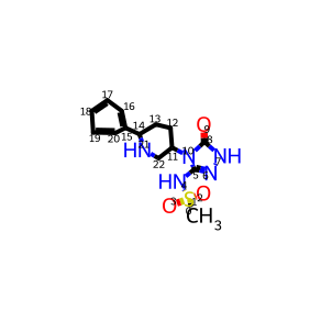 CS(=O)(=O)Nc1n[nH]c(=O)n1C1CCC(c2ccccc2)NC1